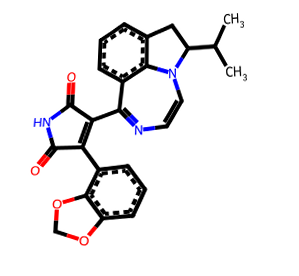 CC(C)C1Cc2cccc3c2N1C=CN=C3C1=C(c2cccc3c2OCO3)C(=O)NC1=O